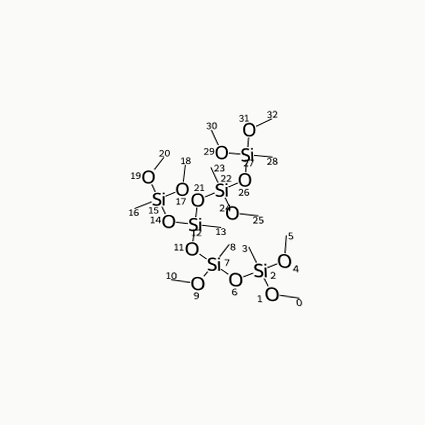 CO[Si](C)(OC)O[Si](C)(OC)O[Si](C)(O[Si](C)(OC)OC)O[Si](C)(OC)O[Si](C)(OC)OC